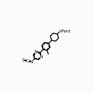 CCCCCC1CCC(c2ccc(-c3ncc(N=C=S)cn3)c(C)c2)CC1